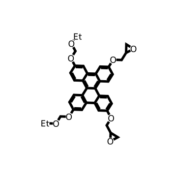 CCOCOc1ccc2c(c1)c1cc(OCC3CO3)ccc1c1c3ccc(OCC4CO4)cc3c3cc(OCOCC)ccc3c21